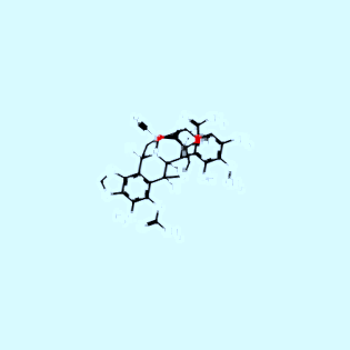 COc1c(C)cc2c(c1O)C1[C@@H]3[C@@H]4SCC(NC(C)=O)C(=O)OC[C@@H](c5c6c(c(C)c(OC(C)=O)c54)OCO6)N3[C@@H](C#N)C(C2)N1C